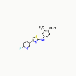 CCCCCCCCc1ccc(Nc2nc(-c3ccc(F)nc3)cs2)cc1C(F)(F)F